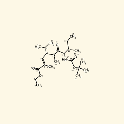 CCOC(=O)/C(C)=C/[C@H](C(C)C)N(C)C(=O)[C@@H](NC(=O)OC(C)(C)C)[C@@H](C)CC